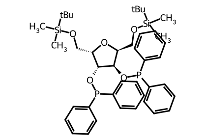 CC(C)(C)[Si](C)(C)OC[C@@H]1O[C@@H](CO[Si](C)(C)C(C)(C)C)[C@@H](OP(c2ccccc2)c2ccccc2)[C@@H]1OP(c1ccccc1)c1ccccc1